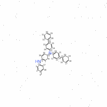 Cc1ccc(NC2=CCC(N(c3ccc(C4=CC=CCC4)cc3)c3ccc(-c4ccccc4)cc3)C=C2)cc1